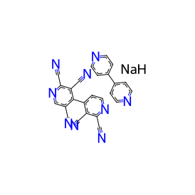 N#Cc1cnc(C#N)c(C#N)c1-c1ccnc(C#N)c1C#N.[NaH].c1cc(-c2ccncc2)ccn1